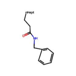 [CH2]CCCCCCCCC(=O)NCc1ccccc1